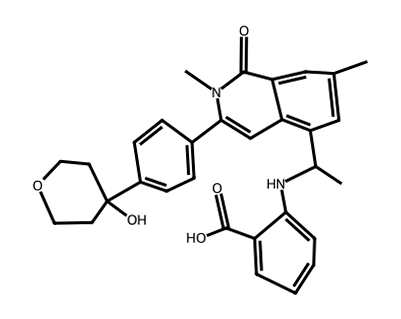 Cc1cc(C(C)Nc2ccccc2C(=O)O)c2cc(-c3ccc(C4(O)CCOCC4)cc3)n(C)c(=O)c2c1